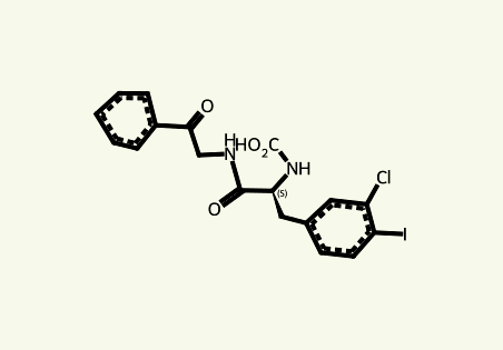 O=C(O)N[C@@H](Cc1ccc(I)c(Cl)c1)C(=O)NCC(=O)c1ccccc1